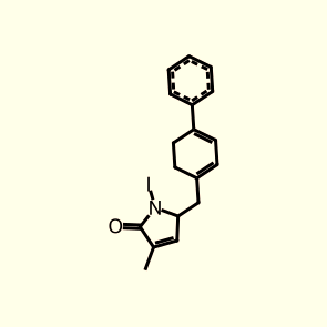 CC1=CC(CC2=CC=C(c3ccccc3)CC2)N(I)C1=O